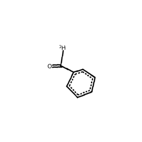 [2H]C(=O)c1ccccc1